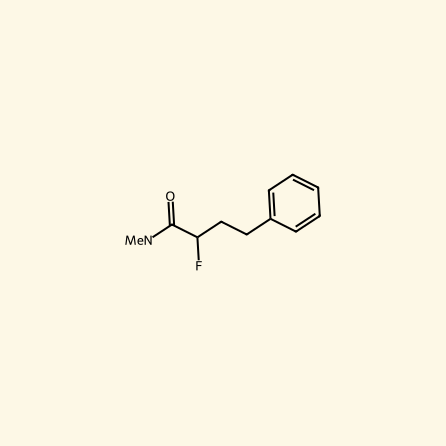 CNC(=O)C(F)CCc1ccccc1